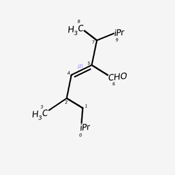 CC(C)CC(C)/C=C(\C=O)C(C)C(C)C